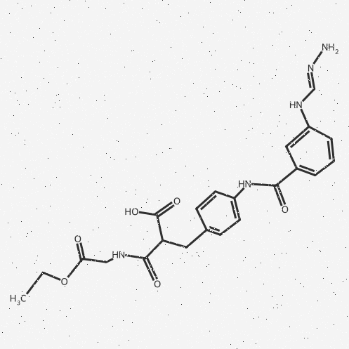 CCOC(=O)CNC(=O)C(Cc1ccc(NC(=O)c2cccc(NC=NN)c2)cc1)C(=O)O